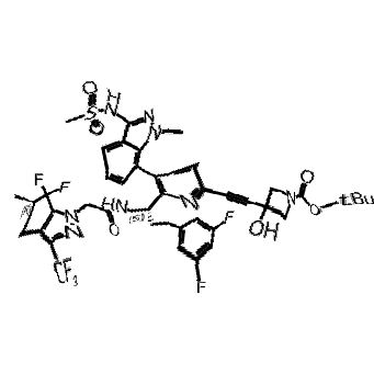 C[C@@H]1Cc2c(C(F)(F)F)nn(CC(=O)N[C@@H](Cc3cc(F)cc(F)c3)c3nc(C#CC4(O)CN(C(=O)OC(C)(C)C)C4)ccc3-c3cccc4c(NS(C)(=O)=O)nn(C)c34)c2C1(F)F